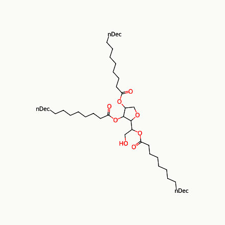 CCCCCCCCCCCCCCCCCC(=O)OC(CO)C1OCC(OC(=O)CCCCCCCCCCCCCCCCC)C1OC(=O)CCCCCCCCCCCCCCCCC